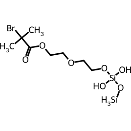 CC(C)(Br)C(=O)OCCOCCO[Si](O)(O)O[SiH3]